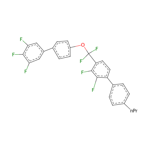 CCCc1ccc(-c2ccc(C(F)(F)Oc3ccc(-c4cc(F)c(F)c(F)c4)cc3)c(F)c2F)cc1